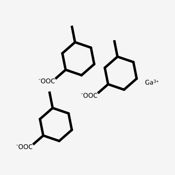 CC1CCCC(C(=O)[O-])C1.CC1CCCC(C(=O)[O-])C1.CC1CCCC(C(=O)[O-])C1.[Ga+3]